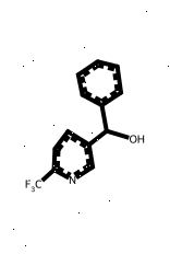 OC(c1ccccc1)c1ccc(C(F)(F)F)nc1